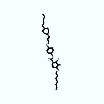 CCCCCCCOc1ccc(C(=O)Oc2ccc(OC/C=C/C3CCC(CCCCC)CC3)cc2)c(F)c1F